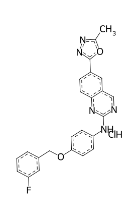 Cc1nnc(-c2ccc3nc(Nc4ccc(OCc5cccc(F)c5)cc4)ncc3c2)o1.Cl